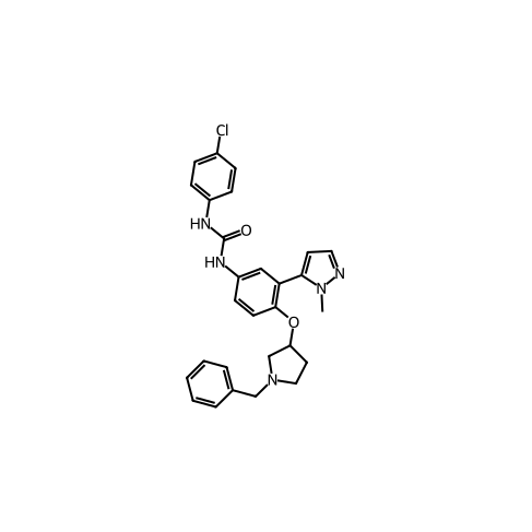 Cn1nccc1-c1cc(NC(=O)Nc2ccc(Cl)cc2)ccc1OC1CCN(Cc2ccccc2)C1